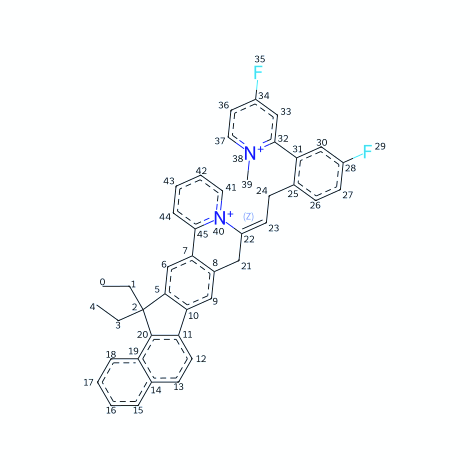 CCC1(CC)c2cc3c(cc2-c2ccc4ccccc4c21)C/C(=C/Cc1ccc(F)cc1-c1cc(F)cc[n+]1C)[n+]1ccccc1-3